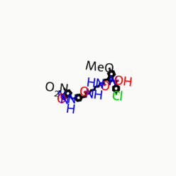 COc1ccc2c(c1)c(CC(=O)NCCCCNC(=O)Cc1ccc(Nc3ccc([N+](=O)[O-])c4nonc34)cc1)c(C)n2C(O)c1ccc(Cl)cc1